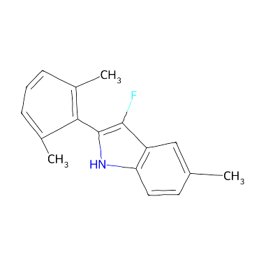 Cc1ccc2[nH]c(-c3c(C)cccc3C)c(F)c2c1